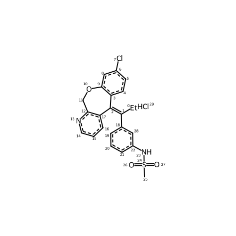 CC/C(=C1\c2ccc(Cl)cc2OCc2ncccc21)c1cccc(NS(C)(=O)=O)c1.Cl